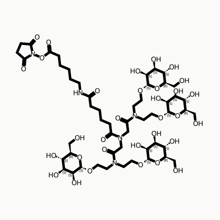 O=C(CCCCC(=O)N(CC(=O)N(CCO[C@H]1O[C@H](CO)[C@@H](O)[C@H](O)[C@@H]1O)CCO[C@H]1O[C@H](CO)[C@@H](O)[C@H](O)[C@@H]1O)CC(=O)N(CCO[C@H]1O[C@H](CO)[C@@H](O)[C@H](O)[C@@H]1O)CCO[C@H]1O[C@H](CO)[C@@H](O)[C@H](O)[C@@H]1O)NCCCCCC(=O)ON1C(=O)CCC1=O